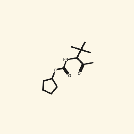 CC(=O)C(NC(=O)OC1CCCC1)C(C)(C)C